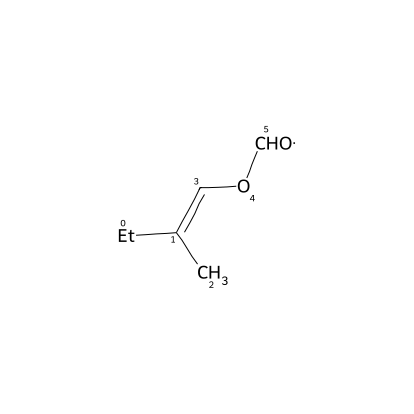 CCC(C)=CO[C]=O